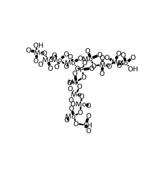 O=[SH](=O)[O][Mo](=[O])(=[O])[O][Mo](=[O])(=[O])[O][Mo](=[O])(=[O])[O][Mo](=[O])(=[O])[O]P(=O)([O][Mo](=[O])(=[O])[O][Mo](=[O])(=[O])[O][Mo](=[O])(=[O])[O][Mo](=[O])(=[O])[OH])[O][Mo](=[O])(=[O])[O][Mo](=[O])(=[O])[O][Mo](=[O])(=[O])[O][Mo](=[O])(=[O])[OH]